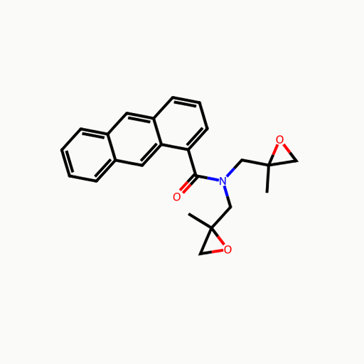 CC1(CN(CC2(C)CO2)C(=O)c2cccc3cc4ccccc4cc23)CO1